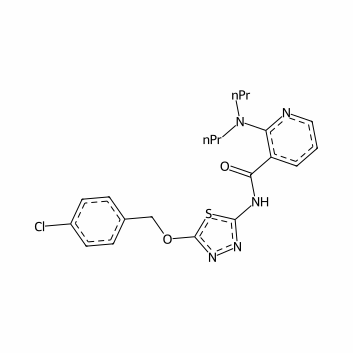 CCCN(CCC)c1ncccc1C(=O)Nc1nnc(OCc2ccc(Cl)cc2)s1